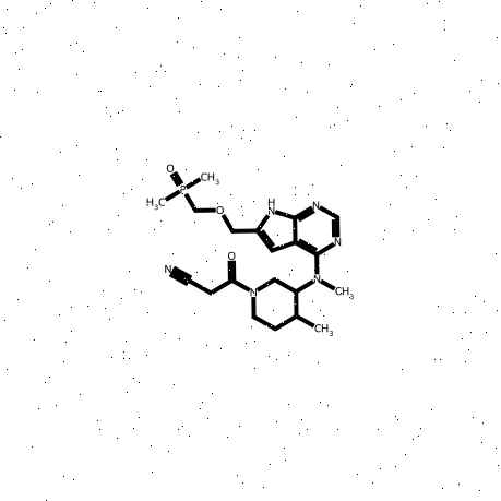 CC1CCN(C(=O)CC#N)CC1N(C)c1ncnc2[nH]c(COCP(C)(C)=O)cc12